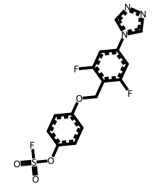 O=S(=O)(F)Oc1ccc(OCc2c(F)cc(-n3cnnc3)cc2F)cc1